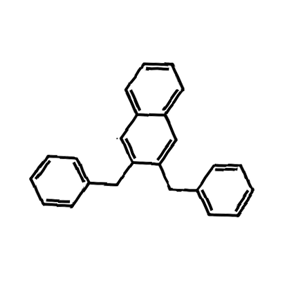 [c]1c(Cc2ccccc2)c(Cc2ccccc2)cc2ccccc12